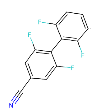 N#Cc1cc(F)c(-c2c(F)[c]ccc2F)c(F)c1